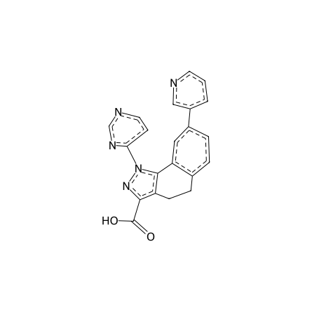 O=C(O)c1nn(-c2ccncn2)c2c1CCc1ccc(-c3cccnc3)cc1-2